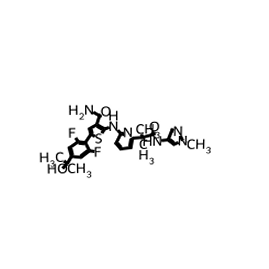 Cn1cc(NC(=O)C(C)(C)c2cccc(Nc3sc(-c4c(F)cc(C(C)(C)O)cc4F)cc3C(N)=O)n2)cn1